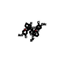 CC(=O)Oc1ccc(C[N+]2(C)[C@@H]3CC[C@H]2CC(C(CC(=O)O)(C(=O)O)C2C[C@H]4CC[C@@H](C2)[N+]4(C)Cc2ccc(OC(C)=O)c(Cl)c2)C3)cc1Cl.[Br-].[Br-]